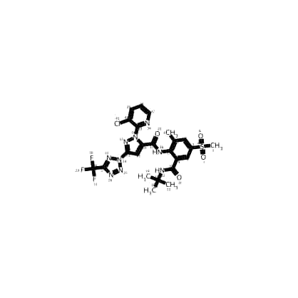 Cc1cc(S(C)(=O)=O)cc(C(=O)NC(C)(C)C)c1NC(=O)c1cc(-n2nnc(C(F)(F)F)n2)nn1-c1ncccc1Cl